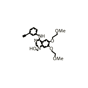 C#Cc1cccc(Nc2ncnc3cc(OCCOC)c(OCCOC)cc23)c1.CO